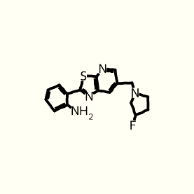 Nc1ccccc1-c1nc2cc(CN3CCC(F)C3)cnc2s1